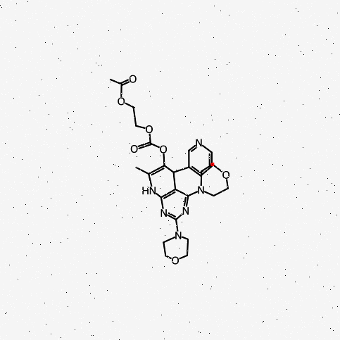 CC(=O)OCCOC(=O)OC1=C(C)Nc2nc(N3CCOCC3)nc(N3CCOCC3)c2C1c1cccnc1